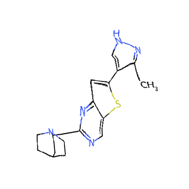 Cc1n[nH]cc1-c1cc2nc(C3CC4CCN3CC4)ncc2s1